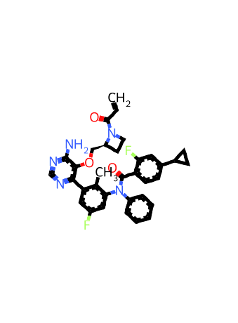 C=CC(=O)N1CC[C@H]1COc1c(N)ncnc1-c1cc(F)cc(N(C(=O)c2ccc(C3CC3)cc2F)c2ccccc2)c1C